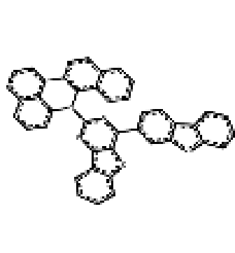 c1ccc2c3c(ccc2c1)-c1cccc2cccc(c12)N3c1nc(-c2ccc3c(c2)sc2ccccc23)c2sc3ccccc3c2n1